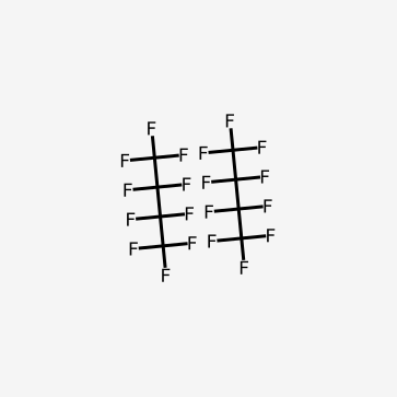 FC(F)(F)C(F)(F)C(F)(F)C(F)(F)F.FC(F)(F)C(F)(F)C(F)(F)C(F)(F)F